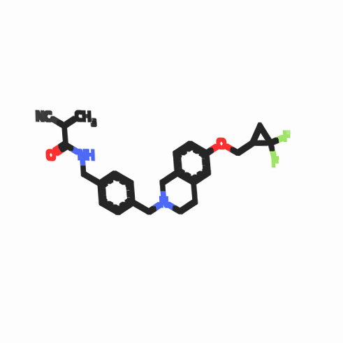 CC(C#N)C(=O)NCc1ccc(CN2CCc3cc(OCC4CC4(F)F)ccc3C2)cc1